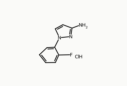 Cl.Nc1ccn(-c2ccccc2F)n1